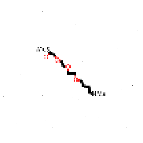 CNCCCCOCCOCCOCC(=O)SC